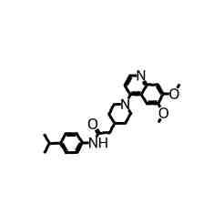 COc1cc2nccc(N3CCC(CC(=O)Nc4ccc(C(C)C)cc4)CC3)c2cc1OC